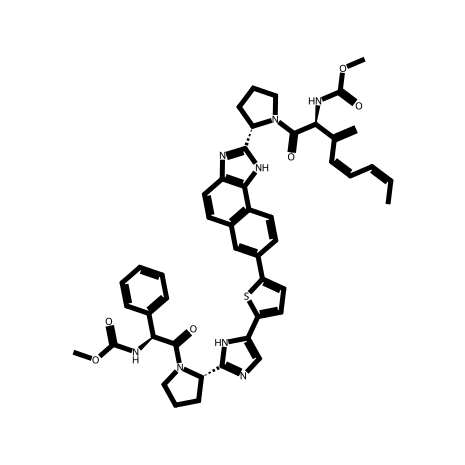 C=C(/C=C\C=C/C)[C@H](NC(=O)OC)C(=O)N1CCC[C@H]1c1nc2ccc3cc(-c4ccc(-c5cnc([C@@H]6CCCN6C(=O)[C@@H](NC(=O)OC)c6ccccc6)[nH]5)s4)ccc3c2[nH]1